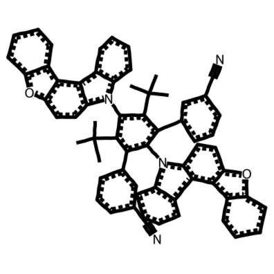 CC(C)(C)c1c(-c2cccc(C#N)c2)c(-n2c3ccccc3c3c4c(ccc32)oc2ccccc24)c(-c2cccc(C#N)c2)c(C(C)(C)C)c1-n1c2ccccc2c2c3c(ccc21)oc1ccccc13